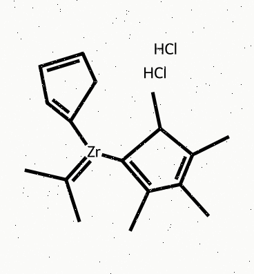 CC1=C(C)C(C)[C]([Zr]([C]2=CC=CC2)=[C](C)C)=C1C.Cl.Cl